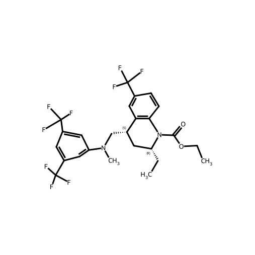 CCOC(=O)N1c2ccc(C(F)(F)F)cc2[C@@H](CN(C)c2cc(C(F)(F)F)cc(C(F)(F)F)c2)C[C@H]1CC